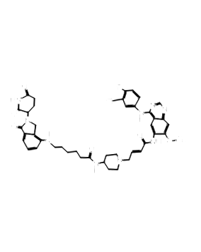 COc1cc2ncnc(Nc3ccc(F)c(Cl)c3)c2cc1NC(=O)C=CCN1CCC(NC(=O)CCCCCNc2cccc3c2CN(C2CCC(=O)NC2=O)C3=O)CC1